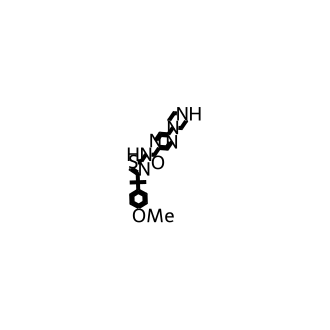 COc1ccc(C(C)(C)c2csc(NC(=O)c3cnc(N4CCNCC4)cn3)n2)cc1